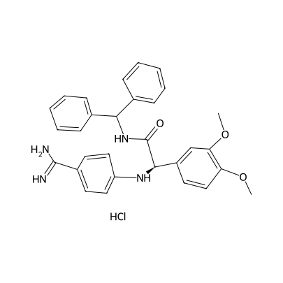 COc1ccc([C@@H](Nc2ccc(C(=N)N)cc2)C(=O)NC(c2ccccc2)c2ccccc2)cc1OC.Cl